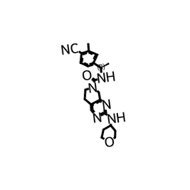 Cc1cc([C@@H](C)NC(=O)N2CCc3cnc(NC4CCOCC4)nc3C2)ccc1C#N